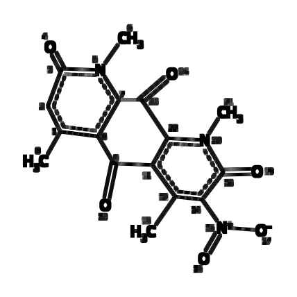 Cc1cc(=O)n(C)c2c1C(=O)c1c(C)c([N+](=O)[O-])c(=O)n(C)c1C2=O